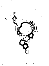 C[C@@H]1[C@@H](C)C/C=C/[C@H](OCCN2CC(F)C2)[C@@H]2CC[C@H]2CN2C[C@@]3(CCCc4cc(Cl)ccc43)COc3ccc(cc32)C(=O)NS1(=O)=O